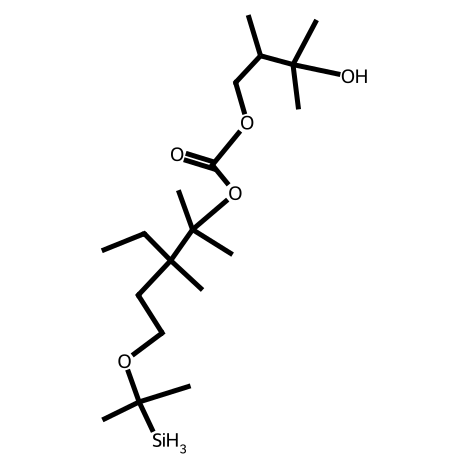 CCC(C)(CCOC(C)(C)[SiH3])C(C)(C)OC(=O)OCC(C)C(C)(C)O